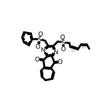 C/C=C\C=C/CS(=O)(=O)Cc1nc2c(nc1CS(=O)(=O)c1ccccc1)C(=O)C1=C(C=CCC=C1)C2=O